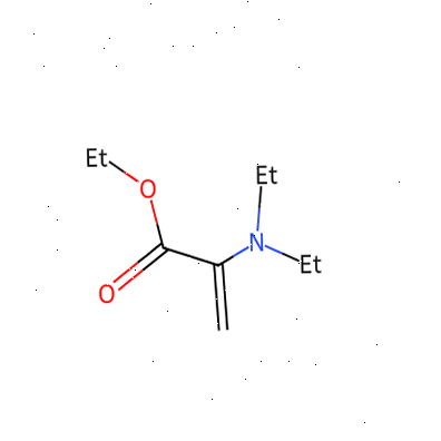 C=C(C(=O)OCC)N(CC)CC